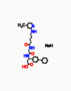 Cc1ccnc(NCCCCC(=O)NCC(=O)NC(CC(=O)O)c2ccc(-c3ccccc3)cc2)c1.[NaH]